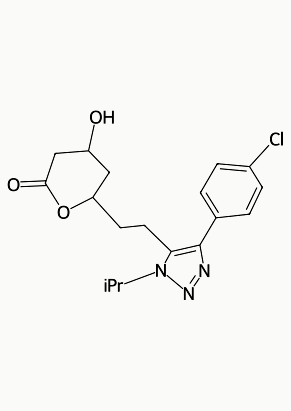 CC(C)n1nnc(-c2ccc(Cl)cc2)c1CCC1CC(O)CC(=O)O1